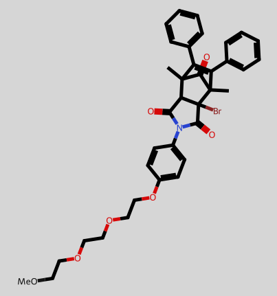 COCCOCCOCCOc1ccc(N2C(=O)C3C4(C)C(=O)C(C)(C(c5ccccc5)=C4c4ccccc4)C3(Br)C2=O)cc1